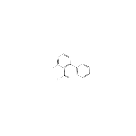 Cc1nccc(-c2ccccn2)c1C(N)=O